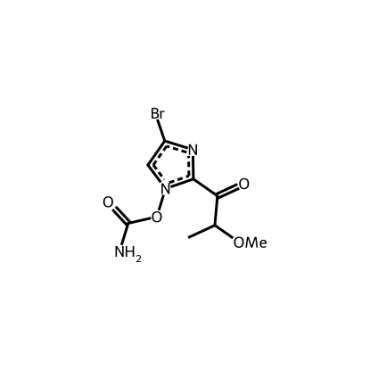 COC(C)C(=O)c1nc(Br)cn1OC(N)=O